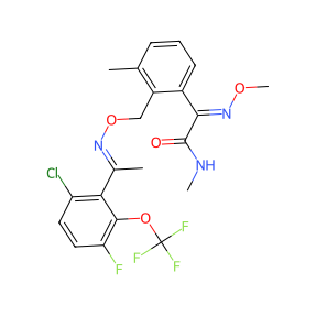 CNC(=O)/C(=N/OC)c1cccc(C)c1CO/N=C(\C)c1c(Cl)ccc(F)c1OC(F)(F)F